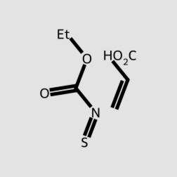 C=CC(=O)O.CCOC(=O)N=S